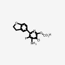 Nc1c(F)c(-c2ccc3c(c2)CCO3)nc(OC(=O)O)c1Cl